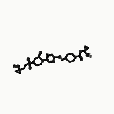 CC(=O)OC1(CCS(=O)(=O)N2CCN(c3cnc(OCC4CCN(C(=O)OC5(C)CC5)CC4)cn3)C(=O)C2)CC1